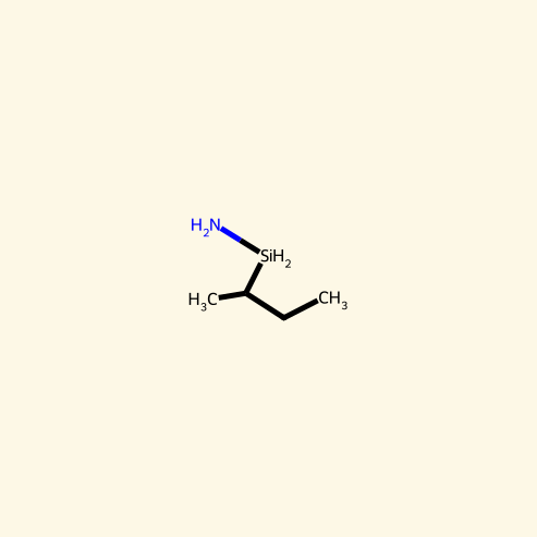 CCC(C)[SiH2]N